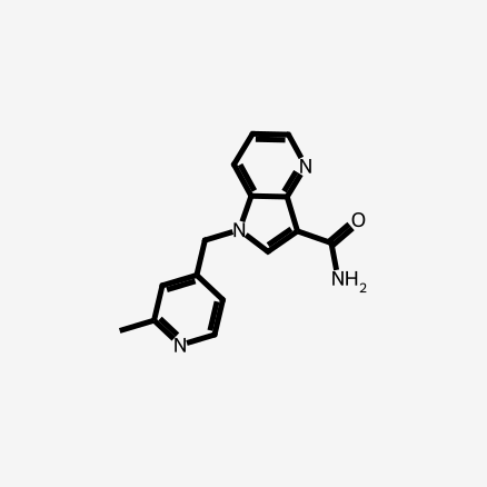 Cc1cc(Cn2cc(C(N)=O)c3ncccc32)ccn1